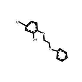 Nc1ccc(OCCOc2ccccc2)c(O)c1